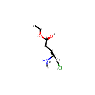 CCOC(=O)CC=C(CCl)NC